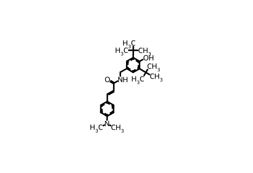 CN(C)c1ccc(C=CC(=O)NCc2cc(C(C)(C)C)c(O)c(C(C)(C)C)c2)cc1